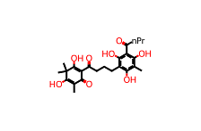 CCCC(=O)c1c(O)c(C)c(O)c(CCCC(=O)C2=C(O)C(C)(C)C(O)=C(C)C2=O)c1O